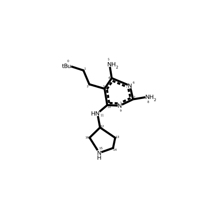 CC(C)(C)CCc1c(N)nc(N)nc1NC1CCNC1